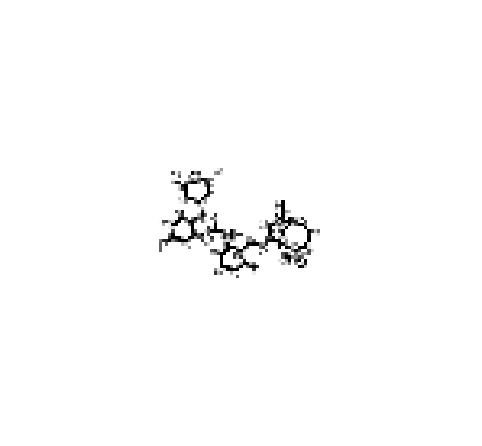 C[C@@H]1CC([C@@H](CC(=O)NC2=CC=CC(F)C2CC[C@H]2CN[C@@H]3CCCS(=O)(=O)N2C3)c2ccc(F)cc2)C[C@@H](C)O1